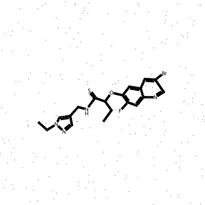 CCC(Oc1cc2cc(Br)cnc2cc1F)C(=S)NCc1cnn(CC)c1